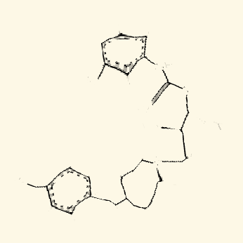 CC(=O)c1cccc(NC(=O)N[C@H](C(C)C)[C@H](O)CN2CCC(Cc3ccc(F)cc3)CC2)c1